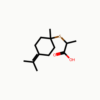 CC(C)=C1CCC(C)(SC(C)C(=O)O)CC1